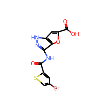 O=C(O)c1cc2[nH]nc(NC(=O)c3cc(Br)cs3)c2o1